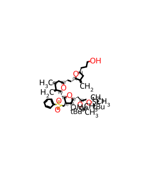 C=C1C[C@H](CCCO)O[C@H]1CC[C@H]1C[C@@H](C)C(=C)[C@@H](C[C@@H]2O[C@H](C[C@@H](CO[Si](C)(C)C(C)(C)C)O[Si](C)(C)C(C)(C)C)[C@H](OC)[C@H]2CS(=O)(=O)c2ccccc2)O1